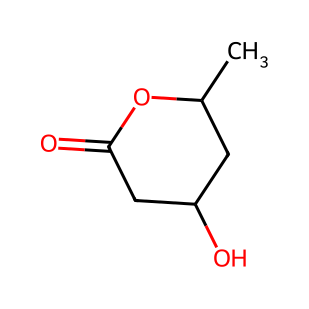 CC1CC(O)CC(=O)O1